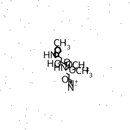 Cc1ccc2c(C[C@H](O)C(=O)N[C@@H](CCC(=O)C=[N+]=[N-])C(=O)OC(C)C)c[nH]c2c1